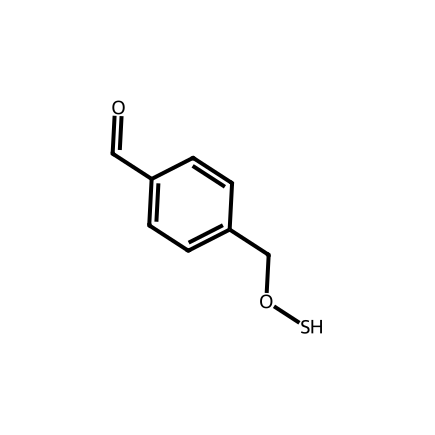 O=Cc1ccc(COS)cc1